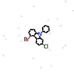 Clc1ccc2c3c(Br)cccc3n(-c3ccccc3)c2c1